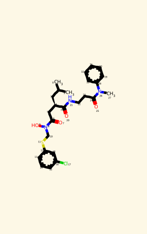 CC(C)C[C@H](CC(=O)N(O)CSc1cccc(Cl)c1)C(=O)NCCC(=O)N(C)c1ccccc1